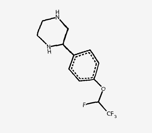 FC(Oc1ccc(C2CNCCN2)cc1)C(F)(F)F